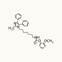 COc1ccccc1OC(=O)NCCCCCCCn1c(C)nc(-c2ccccc2)c1-c1ccccc1